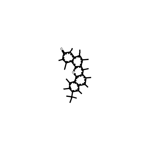 Cc1c(C(C)(C)C)c(C)c2c(C)c(C)c3c(C)c4c(C)c(C)c5c(C)c(=O)c(C)c(C)c5c4oc3c2c1C